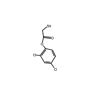 O=C(CS)Oc1ccc(Cl)cc1Cl